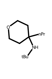 CCCC1(NC(C)(C)C)CCOCC1